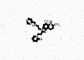 C[C@H]1CCc2c(ccc3c2nc(CCn2ccccc2=O)n3CCNCc2ccncn2)N1C(=O)O